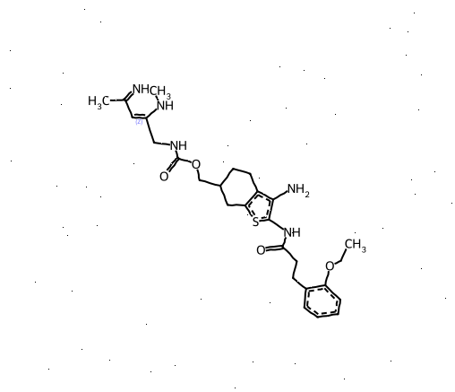 CCOc1ccccc1CCC(=O)Nc1sc2c(c1N)CCC(COC(=O)NC/C(=C/C(C)=N)NC)C2